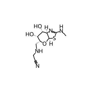 CNC1=N[C@@H]2[C@@H](O)[C@@H](O)[C@@H](CNCC#N)O[C@@H]2S1